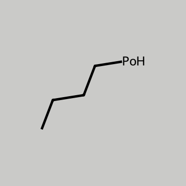 CCC[CH2][PoH]